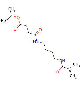 C=C(C)C(=O)NCCCCNC(=O)CCC(=O)OC(C)C